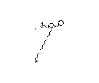 CC(C)CCCCCCCCCCCCCCC1=[N+](Cc2ccccc2)CCN1CCO.[Cl-]